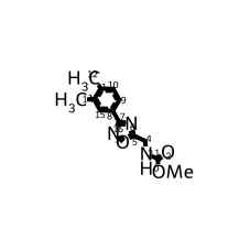 COC(=O)NCc1nc(-c2ccc(C)c(C)c2)no1